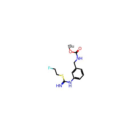 CC(C)(C)OC(=O)NCc1cccc(NC(=N)SCCF)c1